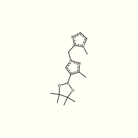 Cc1nn(Cc2nccn2C)cc1B1OC(C)(C)C(C)(C)O1